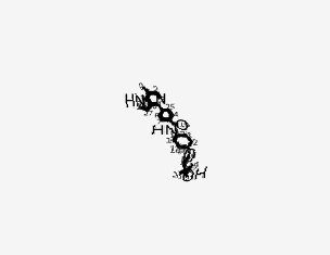 Cc1cnc(-c2ccc(C(=O)N[C@H]3CC[C@H](OCC(C)(C)O)CC3)cc2)c2cc[nH]c12